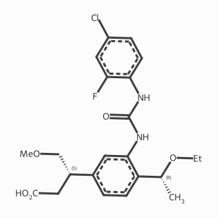 CCO[C@H](C)c1ccc([C@@H](COC)CC(=O)O)cc1NC(=O)Nc1ccc(Cl)cc1F